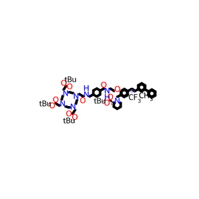 Cc1c(/C=C/c2cc(OCCNC(=O)C3CCC(CNC(=O)CN4CCN(CC(=O)OC(C)(C)C)CCN(CC(=O)OC(C)(C)C)CCN(CC(=O)OC(C)(C)C)CC4)CC3)c(CN3CCCC[C@H]3C(=O)OC(C)(C)C)cc2C(F)(F)F)cccc1-c1ccccc1